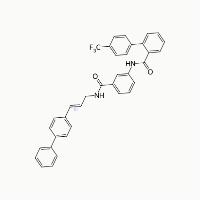 O=C(NC/C=C/c1ccc(-c2ccccc2)cc1)c1cccc(NC(=O)c2ccccc2-c2ccc(C(F)(F)F)cc2)c1